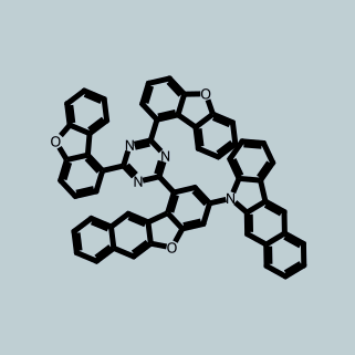 c1ccc2cc3c(cc2c1)oc1cc(-n2c4ccccc4c4cc5ccccc5cc42)cc(-c2nc(-c4cccc5oc6ccccc6c45)nc(-c4cccc5oc6ccccc6c45)n2)c13